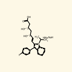 CC(C)n1c(C=C[C@H](O)C[C@H](O)CC(=O)O)c(-c2ccc(F)cc2)c2ccccc21.[NaH].[NaH]